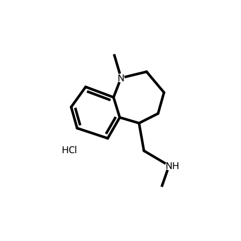 CNCC1CCCN(C)c2ccccc21.Cl